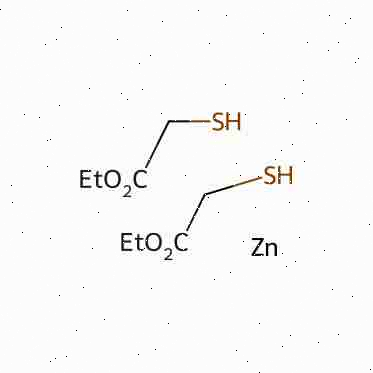 CCOC(=O)CS.CCOC(=O)CS.[Zn]